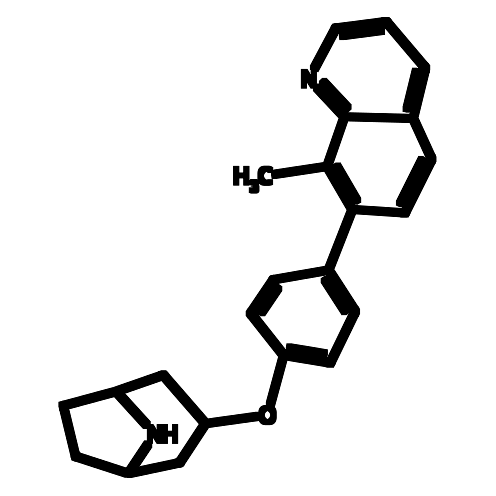 Cc1c(-c2ccc(OC3CC4CCC(C3)N4)cc2)ccc2cccnc12